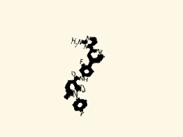 Cc1ccc(C(=O)Nc2ccc(-c3ccnc(-c4ccnc(N)n4)c3)c(F)c2)c(=O)n1-c1ccc(F)cc1